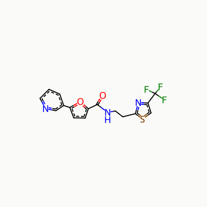 O=C(NCCc1nc(C(F)(F)F)cs1)c1ccc(-c2cccnc2)o1